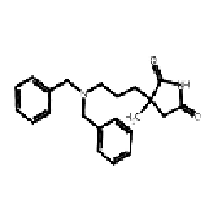 CC1(CCCN(Cc2ccccc2)Cc2ccccc2)CC(=O)NC1=O